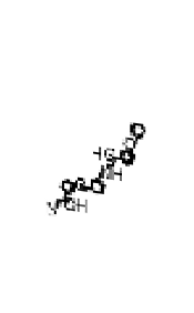 CN(C)CCC(O)c1cccc(OCC2CCCC(CNCCC(O)c3c#ccc(OCC4CCCCC4)c3)C2)c1